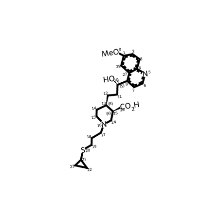 COc1ccc2nccc([C@@H](O)CC[C@@H]3CCN(CCCSC4CC4)C[C@@H]3C(=O)O)c2c1